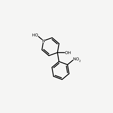 O=[N+]([O-])c1ccccc1C1(O)C=CN(O)C=C1